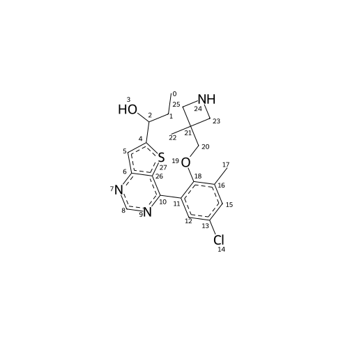 CCC(O)c1cc2ncnc(-c3cc(Cl)cc(C)c3OCC3(C)CNC3)c2s1